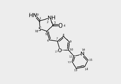 N=C1NC(=O)/C(=C\c2ccc(-c3ccccn3)o2)S1